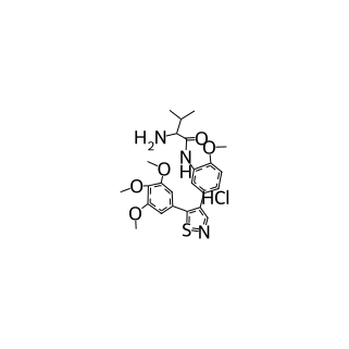 COc1ccc(-c2cnsc2-c2cc(OC)c(OC)c(OC)c2)cc1NC(=O)C(N)C(C)C.Cl